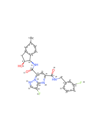 CC(=O)c1ccc2c(c1)C[C@H](O)[C@@H]2NC(=O)c1cc(C(=O)NCc2cccc(F)c2)nc2c(F)cnn12